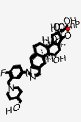 CCC[C@H]1O[C@@H]2C[C@H]3[C@@H]4CCC5=Cc6c(cnn6-c6ccc(F)c(CN7CCC(CO)CC7)c6)C[C@]5(C)[C@H]4[C@@H](O)C[C@]3(C)[C@]2(C(=O)CO)O1